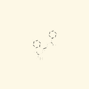 O=C(O)CC(=CCC(=O)c1ccccc1)c1ccccc1